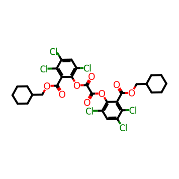 O=C(Oc1c(Cl)cc(Cl)c(Cl)c1C(=O)OCC1CCCCC1)C(=O)Oc1c(Cl)cc(Cl)c(Cl)c1C(=O)OCC1CCCCC1